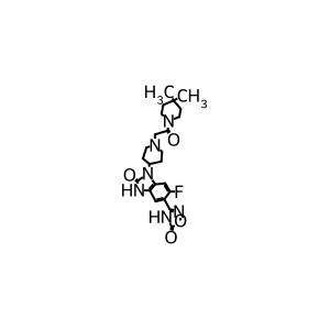 CC1(C)CCN(C(=O)CN2CCC(n3c(=O)[nH]c4cc(-c5noc(=O)[nH]5)c(F)cc43)CC2)CC1